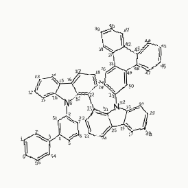 c1ccc(-c2cccc(-n3c4ccccc4c4cccc(-c5cccc6c7ccccc7n(-c7ccc8c9ccccc9c9ccccc9c8c7)c56)c43)c2)cc1